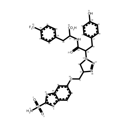 NS(=O)(=O)c1nc2ccc(OCC3CN(C(Cc4ccc(O)cc4)C(=O)NC(Cc4ccc(C(F)(F)F)cc4)C(=O)O)N=N3)cc2s1